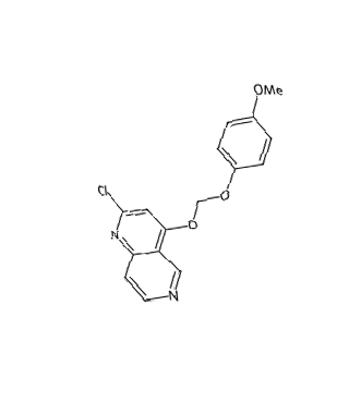 COc1ccc(OCOc2cc(Cl)nc3ccncc23)cc1